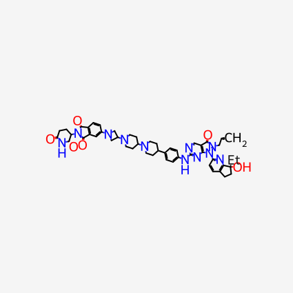 C=CCn1c(=O)c2cnc(Nc3ccc(C4CCN(C5CCN(C6CN(c7ccc8c(c7)C(=O)N(C7CCC(=O)NC7=O)C8=O)C6)CC5)CC4)cc3)nc2n1-c1ccc2c(n1)[C@@](O)(CC)CC2